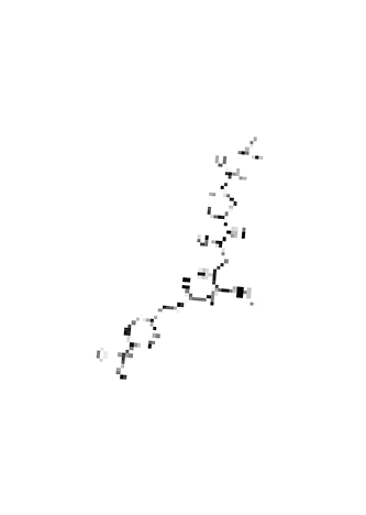 CC(C)(C)OC(=O)N1CC[C@H](NC(=O)CNC(N)=NC(=O)OCc2ccc([N+](=O)[O-])cc2)C1